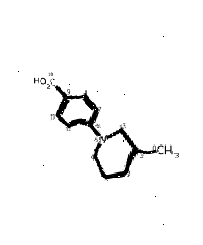 CC1CCCN(c2ccc(C(=O)O)cc2)C1